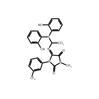 CN1C(=O)C(=NC(N(c2ccccc2C#N)c2ccccc2C#N)C(Cl)(Cl)Cl)N(c2cccc(C(F)(F)F)c2)C1=O